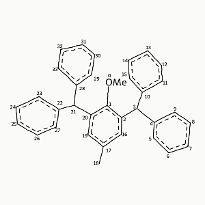 COc1c(C(c2ccccc2)c2ccccc2)cc(C)cc1C(c1ccccc1)c1ccccc1